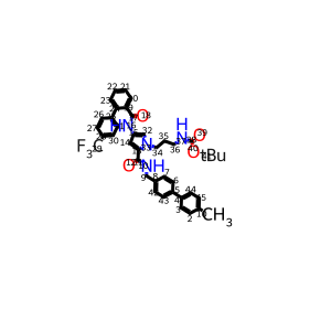 Cc1ccc(-c2ccc(CNC(=O)c3cc(NC(=O)c4ccccc4-c4ccc(C(F)(F)F)cc4)cn3CCCNC(=O)OC(C)(C)C)cc2)cc1